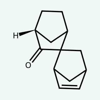 O=C1[C@@H]2CCC(C2)C12CC1C=CC2C1